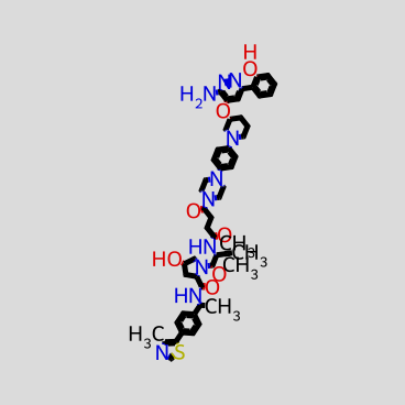 Cc1ncsc1-c1ccc(C(C)NC(=O)C2CC(O)CN2C(=O)C(NC(=O)CCC(=O)N2CCN(c3ccc(N4CCCC(Oc5cc(-c6ccccc6O)nnc5N)C4)cc3)CC2)C(C)(C)C)cc1